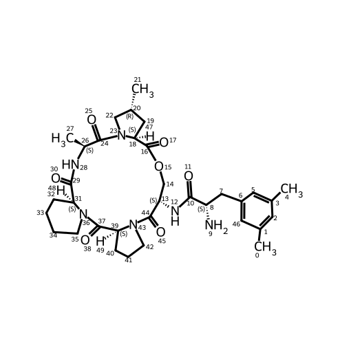 Cc1cc(C)cc(C[C@H](N)C(=O)N[C@H]2COC(=O)[C@@H]3C[C@@H](C)CN3C(=O)[C@H](C)NC(=O)[C@@H]3CCCCN3C(=O)[C@@H]3CCCN3C2=O)c1